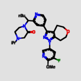 CCCCC(c1cc(-c2nn(-c3cnc(OC)c(F)c3)c3c2CCOCC3)ccn1)N1CCN(C(C)C)CC1=O